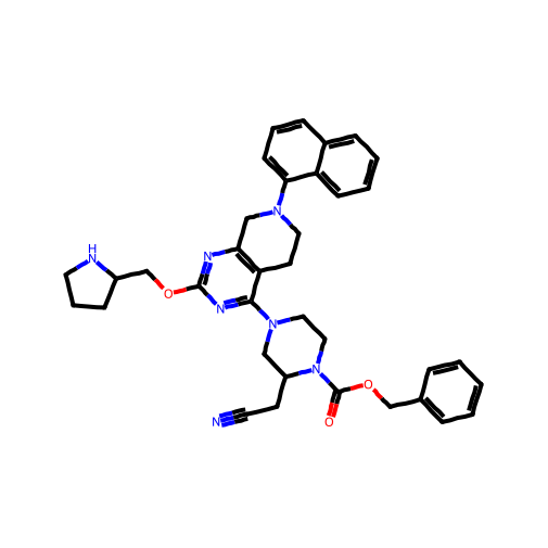 N#CCC1CN(c2nc(OCC3CCCN3)nc3c2CCN(c2cccc4ccccc24)C3)CCN1C(=O)OCc1ccccc1